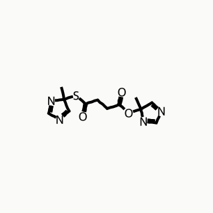 CC1(OC(=O)CCC(=O)SC2(C)C=NC=N2)C=NC=N1